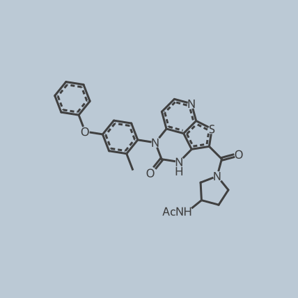 CC(=O)NC1CCN(C(=O)c2sc3nccc4c3c2NC(=O)N4c2ccc(Oc3ccccc3)cc2C)C1